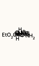 C=CC(=O)N(CC(=O)OCC)NC(=O)C(NC(=O)C(NC(=O)c1ccc(N)c(Cl)c1)C(C)(C)C)C1CC1